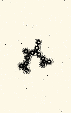 c1ccc(-c2ccc(N(c3ccc(-c4ccc5c(c4)c4ccccc4n5-c4ccccc4)cc3)c3ccc(N(c4ccccc4)c4ccc(-c5ccc6c(c5)c5cccnc5n6-c5ccccc5)cc4)cc3)cc2)cc1